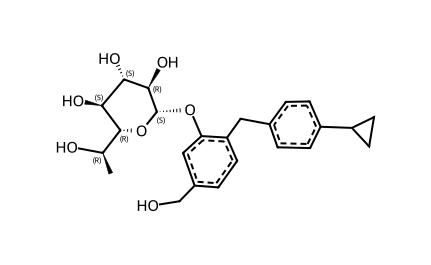 C[C@@H](O)[C@H]1O[C@@H](Oc2cc(CO)ccc2Cc2ccc(C3CC3)cc2)[C@H](O)[C@@H](O)[C@@H]1O